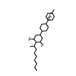 CCCCCCCC(C)C1C(F)CC(C2CCC(C34CCC(C)(CC3)CC4)CC2)CC1F